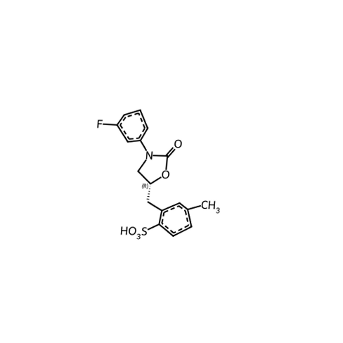 Cc1ccc(S(=O)(=O)O)c(C[C@@H]2CN(c3cccc(F)c3)C(=O)O2)c1